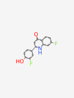 O=c1cc(-c2ccc(O)c(F)c2)[nH]c2cc(F)ccc12